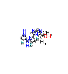 CC(C)(O)c1cn2c(-c3nc(N[C@H]4CNCC[C@@H]4F)c(F)cc3F)cnc2cn1